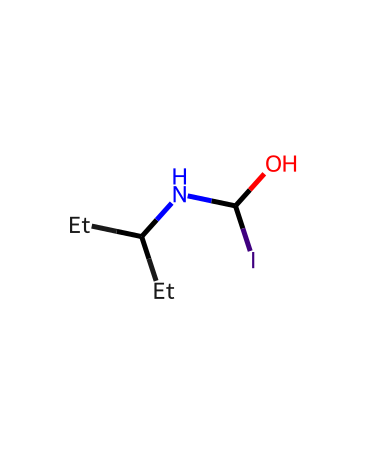 CCC(CC)NC(O)I